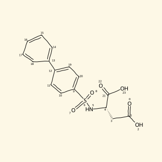 O=C(O)C[C@H](NS(=O)(=O)c1ccc(-c2ccccc2)cc1)C(=O)O